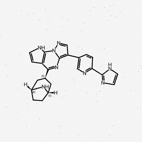 c1c[nH]c(-c2ccc(-c3cnn4c3nc([C@@H]3C[C@H]5CC[C@@H](C3)N5)c3cc[nH]c34)cn2)n1